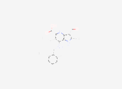 CCc1c(C(=O)O)nc2c(C=O)c(C)[nH]c2c1NCc1c(C)cccc1C